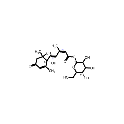 CC1=CC(=O)CC(C)(C)[C@@]1(O)/C=C/C(C)=C\C(=O)O[C@@H]1OC(CO)[C@@H](O)C(O)C1O